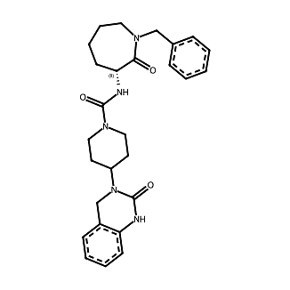 O=C(N[C@@H]1CCCCN(Cc2ccccc2)C1=O)N1CCC(N2Cc3ccccc3NC2=O)CC1